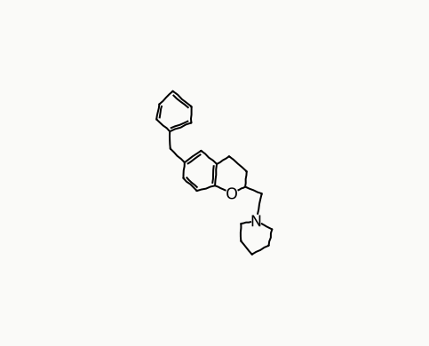 c1ccc(Cc2ccc3c(c2)CCC(CN2CCCCC2)O3)cc1